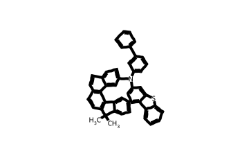 CC1(C)c2ccccc2-c2c1ccc1ccc3ccc(N(c4cccc(-c5ccccc5)c4)c4ccc5c(c4)sc4ccccc45)cc3c21